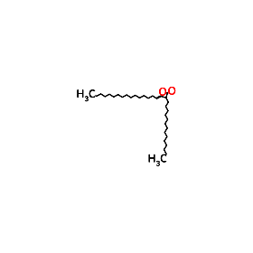 CCCCCCCCCCCCCCC/C=C1\OC(=O)C1CCCCCCCCCCCCCC